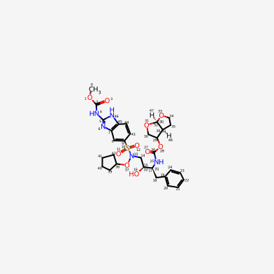 COC(=O)Nc1nc2cc(S(=O)(=O)N(C[C@H](O)[C@H](Cc3ccccc3)NC(=O)OC3CO[C@H]4OCC[C@@H]34)OC3CCCC3)ccc2[nH]1